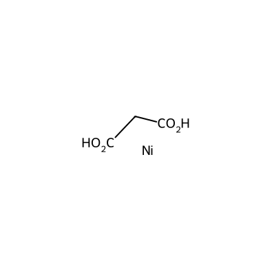 O=C(O)CC(=O)O.[Ni]